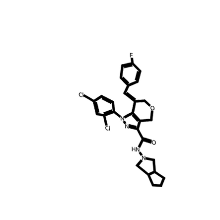 O=C(NN1CC2CCCC2C1)c1nn(-c2ccc(Cl)cc2Cl)c2c1COC/C2=C\c1ccc(F)cc1